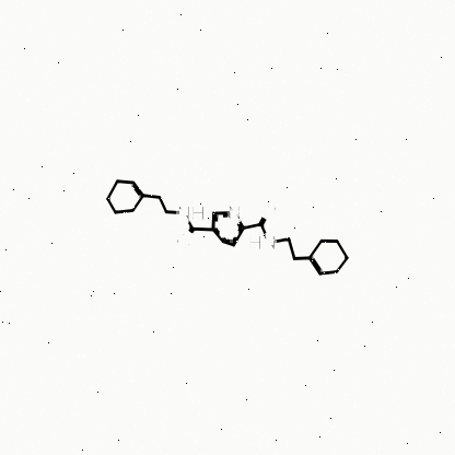 O=C(NCCC1=CCCCC1)c1ccc(C(=O)NCCC2=CCCCC2)nc1